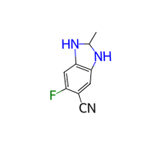 CC1Nc2cc(F)c(C#N)cc2N1